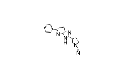 N#CN1CCC(c2nc3ccc(-c4ccccc4)nc3[nH]2)C1